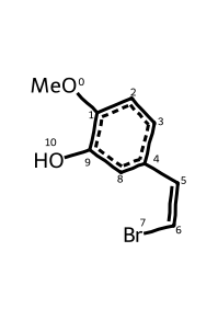 COc1ccc(/C=C\Br)cc1O